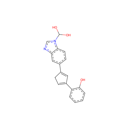 Oc1ccccc1C1=CCC(c2ccc3c(c2)ncn3C(O)O)=C1